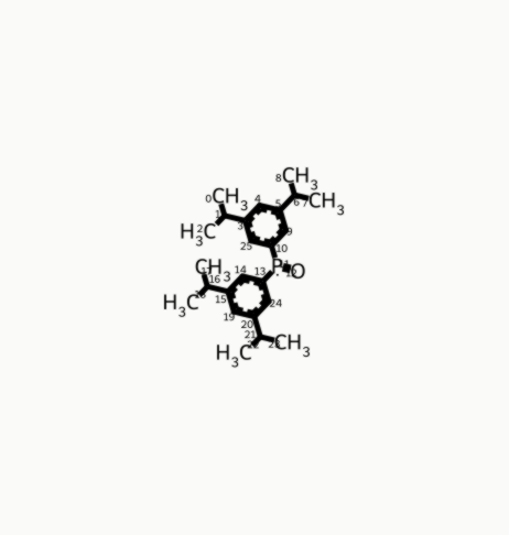 CC(C)c1cc(C(C)C)cc([P](=O)c2cc(C(C)C)cc(C(C)C)c2)c1